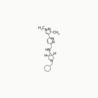 Cc1nn(C)cc1-c1ccc(CN[C@H]2[C@@H]3CN(CC4CCCCC4)C[C@@H]32)nn1